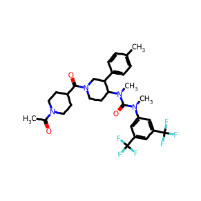 CC(=O)N1CCC(C(=O)N2CCC(N(C)C(=O)N(C)c3cc(C(F)(F)F)cc(C(F)(F)F)c3)C(c3ccc(C)cc3)C2)CC1